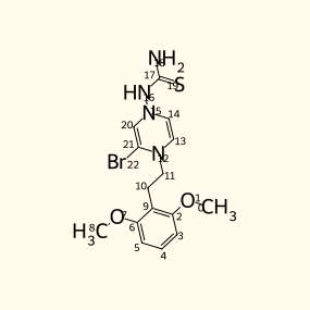 COc1cccc(OC)c1CCN1C=CN(NC(N)=S)C=C1Br